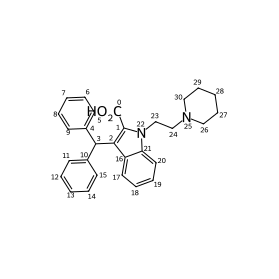 O=C(O)c1c(C(c2ccccc2)c2ccccc2)c2ccccc2n1CCN1CCCCC1